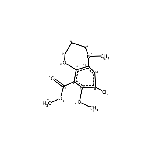 COC(=O)c1c(OC)c(Cl)cc2c1OCCCN2C